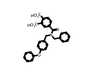 O=C(O)c1ccc(C(=S)N(Cc2ccccc2)Cc2ccc(Oc3ccccc3)cc2)cc1C(=O)O